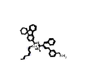 C/C=C/C=C\C=C/NC(/N=C(C(/C=C1/C=CC=CC1)=C/Cc1cccc(CN)c1)\N(C)C)c1ccc2c(c1)-c1ccccc1C21CCCCC1